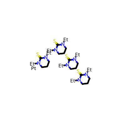 CCN1CCCN(CC)C1=S.CCN1CCCN(CC)C1=S.CCN1CCCN(CC)C1=S.CCN1CCCN(CC)C1=S.[Pt]